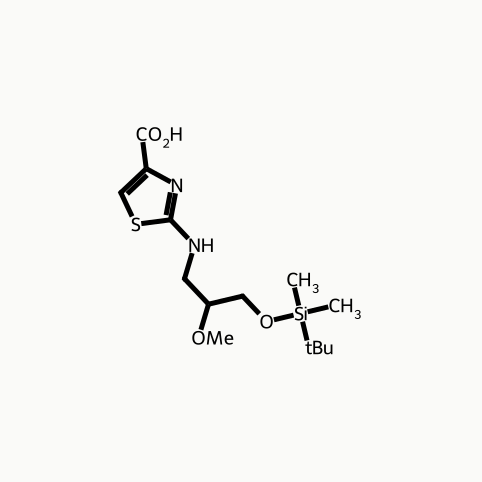 COC(CNc1nc(C(=O)O)cs1)CO[Si](C)(C)C(C)(C)C